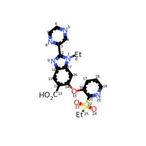 CCn1c(-c2cnccn2)nc2cc(C(=O)O)c(Oc3cccnc3S(=O)(=O)CC)cc21